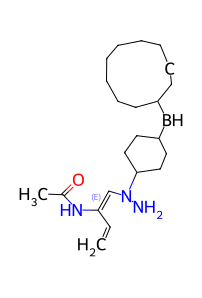 C=C/C(=C\N(N)C1CCC(BC2CCCCCCCCC2)CC1)NC(C)=O